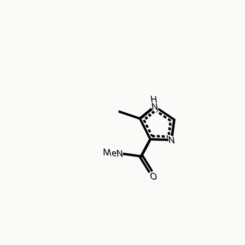 CNC(=O)c1nc[nH]c1C